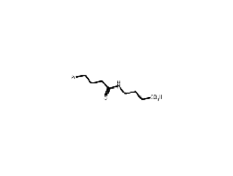 CC(C)CCCC(=O)NCCCS(=O)(=O)O